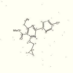 COC(=O)c1c(CC(C)C)nc(-c2ccc(Cl)cc2)nc1OCC1CC1